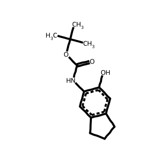 CC(C)(C)OC(=O)Nc1cc2c(cc1O)CCC2